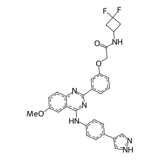 COc1ccc2nc(-c3cccc(OCC(=O)NC4CC(F)(F)C4)c3)nc(Nc3ccc(-c4cn[nH]c4)cc3)c2c1